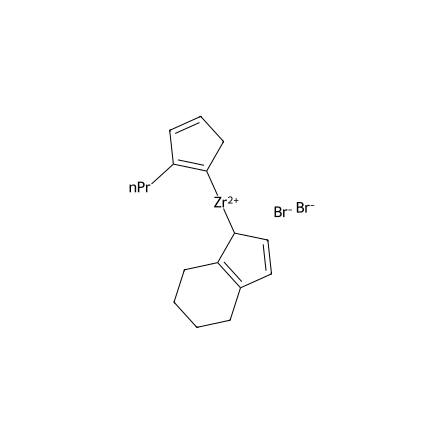 CCCC1=[C]([Zr+2][CH]2C=CC3=C2CCCC3)CC=C1.[Br-].[Br-]